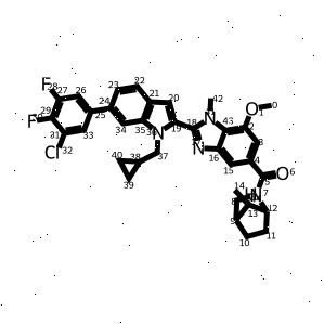 COc1cc(C(=O)N2CC3CCC2[C@@H]3C)cc2nc(-c3cc4ccc(-c5cc(F)c(F)c(Cl)c5)cc4n3CC3CC3)n(C)c12